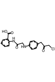 O=C(CCl)Cc1ccc(NCC(=O)Nc2ccccc2C(=O)O)cc1